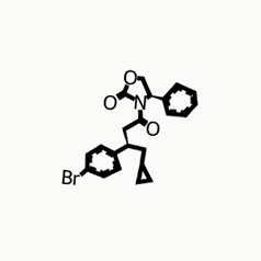 O=C(C[C@@H](CC1CC1)c1ccc(Br)cc1)N1C(=O)OC[C@H]1c1ccccc1